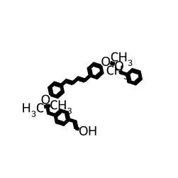 CC(C)(Cc1ccc(C=CO)cc1)Oc1ccc(C=CC=Cc2ccc(OC(C)(C)OCc3ccccc3)cc2)cc1